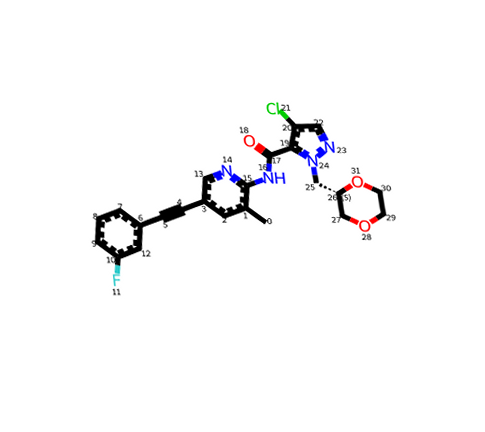 Cc1cc(C#Cc2cccc(F)c2)cnc1NC(=O)c1c(Cl)cnn1C[C@H]1COCCO1